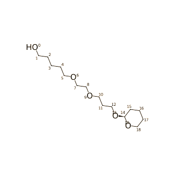 OCCCCCOCCOCCCO[C@H]1CCCCO1